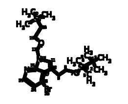 CC(C)(C)[Si](C)(C)OCCc1cn(COCC[Si](C)(C)C)c2nccc(Br)c12